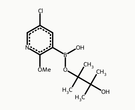 COc1ncc(Cl)cc1B(O)OC(C)(C)C(C)(C)O